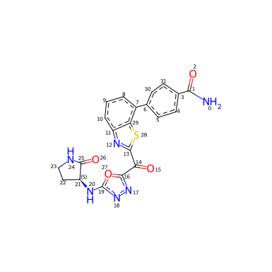 NC(=O)c1ccc(-c2cccc3nc(C(=O)c4nnc(N[C@H]5CCNC5=O)o4)sc23)cc1